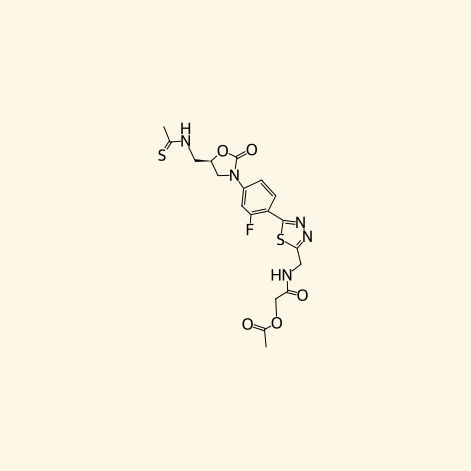 CC(=O)OCC(=O)NCc1nnc(-c2ccc(N3C[C@@H](CNC(C)=S)OC3=O)cc2F)s1